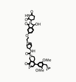 COc1cc(-c2cn(C)c(=O)c3c2CCN(C(=O)NC2CC4CC2CN4CCOc2ccc4c(c2)C(=O)N(C2CCC(=O)NC2=O)C4O)C3)cc(OC)c1CN(C)C